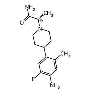 Cc1cc(N)c(F)cc1C1CCN([C@H](C)C(N)=O)CC1